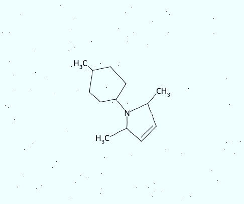 CC1CCC(N2C(C)C=CC2C)CC1